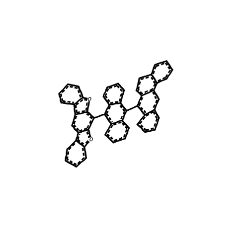 c1ccc2c(-c3c4ccccc4c(-c4c5oc6ccccc6c5cc5c4oc4ccccc45)c4ccccc34)c3ccc4ccccc4c3cc2c1